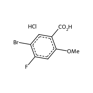 COc1cc(F)c(Br)cc1C(=O)O.Cl